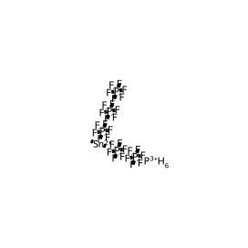 F[P-](F)(F)(F)(F)F.F[P-](F)(F)(F)(F)F.F[P-](F)(F)(F)(F)F.F[P-](F)(F)(F)(F)F.F[P-](F)(F)(F)(F)F.[CH3][Sn+2][CH3].[PH6+3]